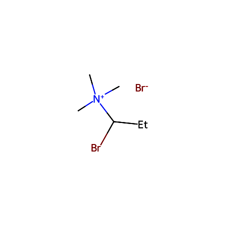 CCC(Br)[N+](C)(C)C.[Br-]